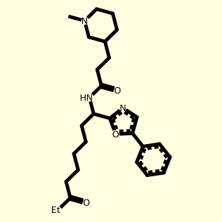 CCC(=O)CCCCCC(NC(=O)CCC1CCCN(C)C1)c1ncc(-c2ccccc2)o1